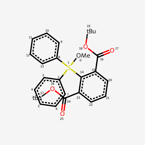 COS(c1ccccc1)(c1ccccc1)c1c(C(=O)OC(C)(C)C)cccc1C(=O)OC(C)(C)C